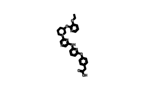 CCOc1cccnc1OC1CCCN(c2cncc(Nc3cccc(Oc4ccc(CC(=O)O)cc4)n3)n2)C1